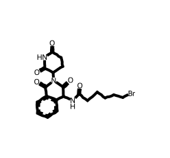 O=C1CCC(N2C(=O)c3ccccc3C(NC(=O)CCCCCBr)C2=O)C(=O)N1